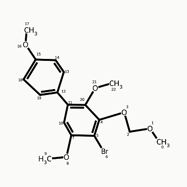 COCOc1c(Br)c(OC)cc(-c2ccc(OC)cc2)c1OC